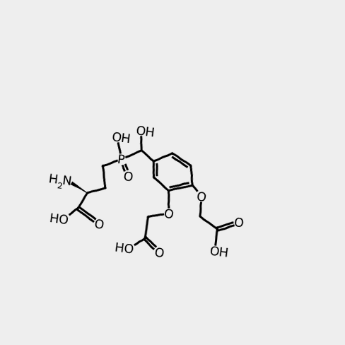 N[C@@H](CCP(=O)(O)C(O)c1ccc(OCC(=O)O)c(OCC(=O)O)c1)C(=O)O